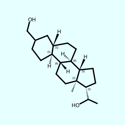 CC(O)[C@H]1CC[C@H]2[C@@H]3CC[C@H]4CC(CO)CC[C@@H]4[C@H]3CC[C@]12C